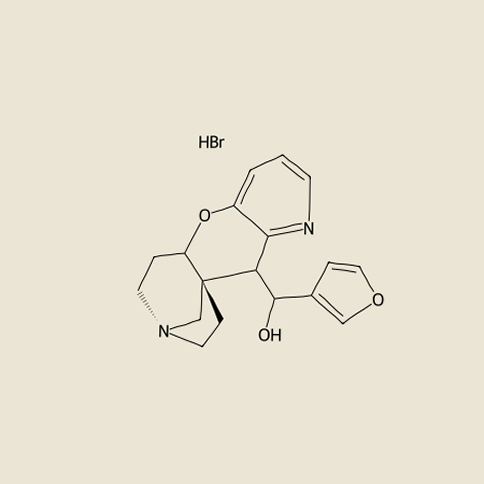 Br.OC(c1ccoc1)C1c2ncccc2OC2CC[N@@]3CC[C@@]21C3